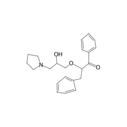 O=C(c1ccccc1)C(Cc1ccccc1)OCC(O)CN1CCCC1